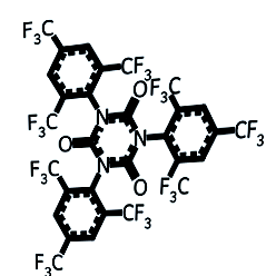 O=c1n(-c2c(C(F)(F)F)cc(C(F)(F)F)cc2C(F)(F)F)c(=O)n(-c2c(C(F)(F)F)cc(C(F)(F)F)cc2C(F)(F)F)c(=O)n1-c1c(C(F)(F)F)cc(C(F)(F)F)cc1C(F)(F)F